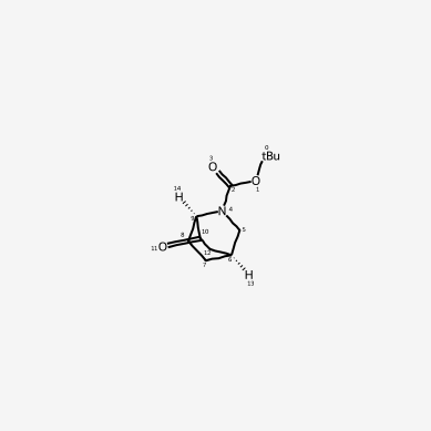 CC(C)(C)OC(=O)N1C[C@H]2CC[C@@H]1C(=O)C2